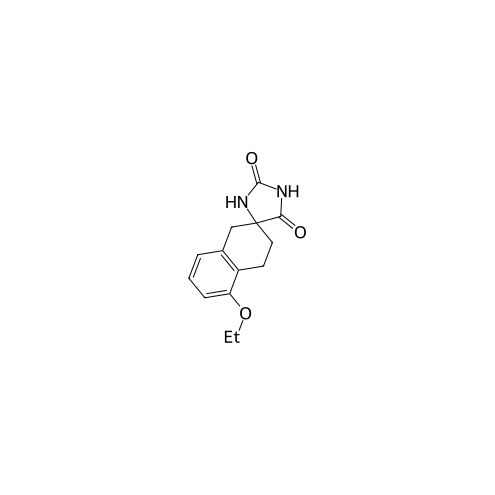 CCOc1cccc2c1CCC1(C2)NC(=O)NC1=O